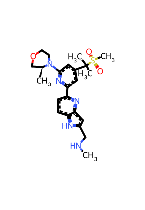 CNCc1cc2nc(-c3cc(C(C)(C)S(C)(=O)=O)cc(N4CCOC[C@@H]4C)n3)ccc2[nH]1